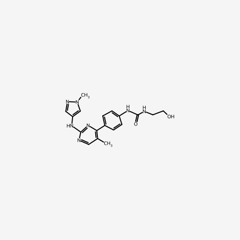 Cc1cnc(Nc2cnn(C)c2)nc1-c1ccc(NC(=O)NCCO)cc1